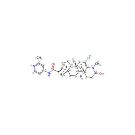 Cc1cc(NC(=O)C[C@H]2CC[C@H]3[C@@H]4CC(Cl)=C5N(C)C(=O)CC[C@]5(C)[C@H]4CC[C@]23C)ccn1